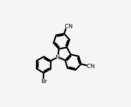 N#Cc1ccc2c(c1)c1cc(C#N)ccc1n2-c1cccc(Br)c1